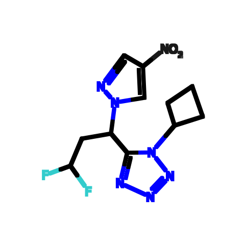 O=[N+]([O-])c1cnn(C(CC(F)F)c2nnnn2C2CCC2)c1